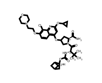 CC(C)(C)[C@H](NC(=O)O[C@H]1CC2CC1C2)C(=O)N1CC(Oc2cc(OC3CC3)nc3c(Cl)c(OCCN4CCOCC4)ccc23)C[C@H]1C(N)=O